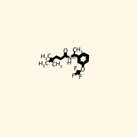 C[C@H](NC(=O)CCC(C)(C)C)c1cccc(OC(F)(F)F)c1